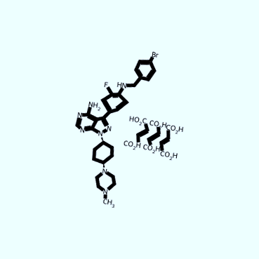 CN1CCN([C@H]2CC[C@@H](n3nc(-c4ccc(NCc5ccc(Br)cc5)c(F)c4)c4c(N)ncnc43)CC2)CC1.O=C(O)C=CC(=O)O.O=C(O)C=CC(=O)O.O=C(O)C=CC(=O)O